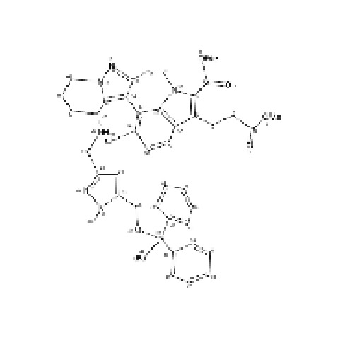 COC(=O)CCc1c(C(=O)OC)n(C)c2c(-c3c(C)nn4c3[C@H](NCc3cc(CO[Si](c5ccccc5)(c5ccccc5)C(C)(C)C)n(C)n3)CCC4)c(Cl)ccc12